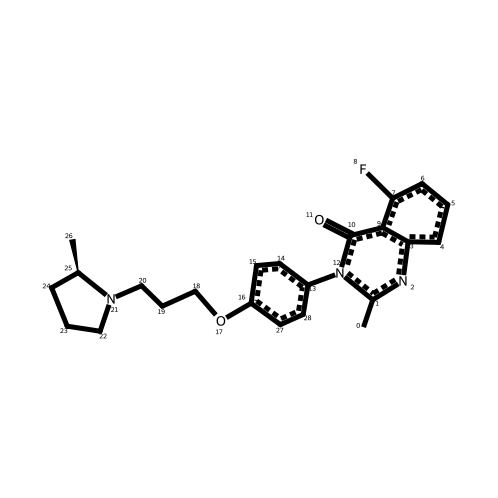 Cc1nc2cccc(F)c2c(=O)n1-c1ccc(OCCCN2CCC[C@H]2C)cc1